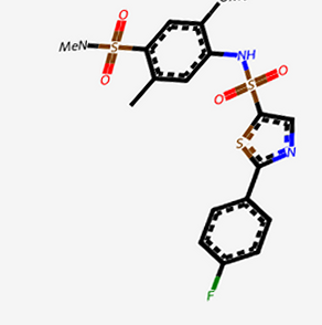 CNS(=O)(=O)c1cc(OC)c(NS(=O)(=O)c2cnc(-c3ccc(F)cc3)s2)cc1C